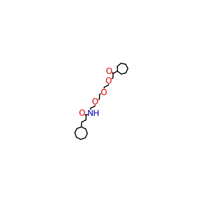 O=C(CCC1CCCCCCC1)NCCOCCOCCOCC(=O)C1CCCCCC1